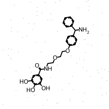 NC(c1ccccc1)c1ccc(OCCOCCNC(=O)c2cc(O)c(O)c(O)c2)cc1